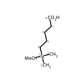 CO[Si](C)(C)CCCCC(=O)O